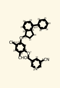 N#Cc1cncc(COc2cc(OC3CCc4c(-c5ccccc5)cccc43)c(Cl)cc2C=O)c1